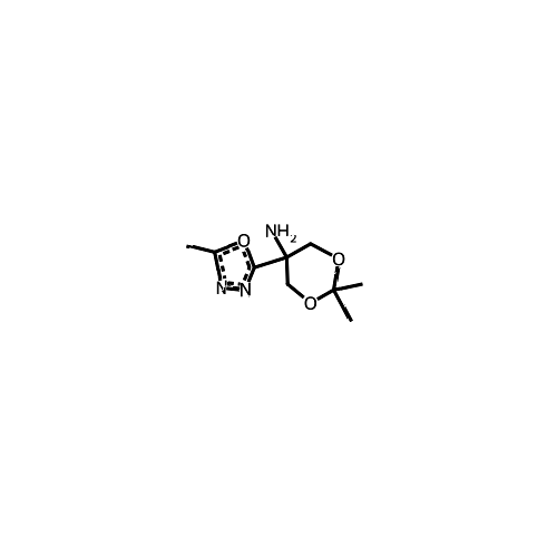 Cc1nnc(C2(N)COC(C)(C)OC2)o1